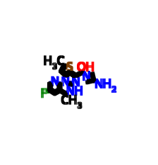 Cc1cc2nc(NC(C)c3cncc(F)c3)nc(C(O)N3CC(N)C3)c2s1